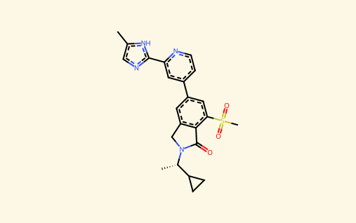 Cc1cnc(-c2cc(-c3cc4c(c(S(C)(=O)=O)c3)C(=O)N([C@@H](C)C3CC3)C4)ccn2)[nH]1